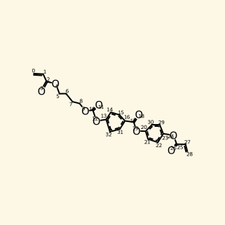 C=CC(=O)OCCCCOC(=O)Oc1ccc(C(=O)Oc2ccc(OC(=O)C=C)cc2)cc1